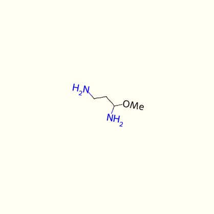 COC(N)CCN